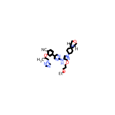 CCOCCCOc1nn(C2CCC(N3[C@@H]4CC[C@H]3COC4)CC2)cc1Nc1ncc(-c2ccc(C#N)c(O[C@@H](C)Cn3cncn3)c2)cn1